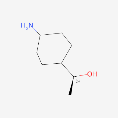 C[C@H](O)C1CCC(N)CC1